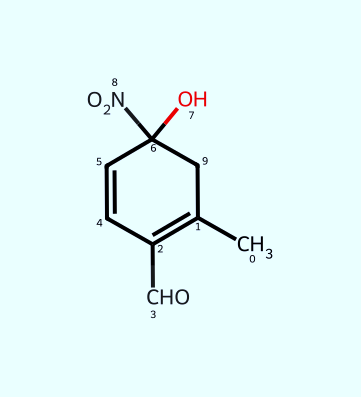 CC1=C(C=O)C=CC(O)([N+](=O)[O-])C1